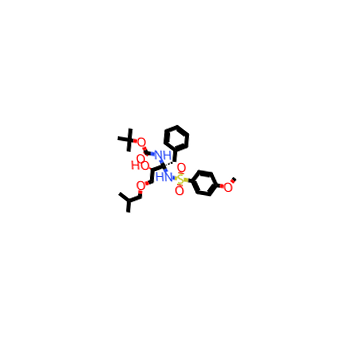 COc1ccc(S(=O)(=O)N[C@](Cc2ccccc2)(NC(=O)OC(C)(C)C)[C@@H](O)COCC(C)C)cc1